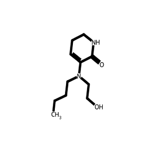 CCCCN(CCO)C1=CCCNC1=O